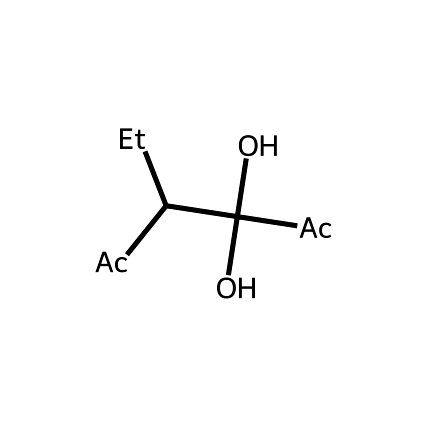 CCC(C(C)=O)C(O)(O)C(C)=O